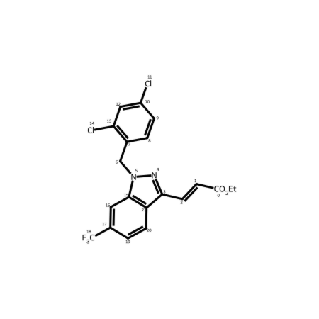 CCOC(=O)/C=C/c1nn(Cc2ccc(Cl)cc2Cl)c2cc(C(F)(F)F)ccc12